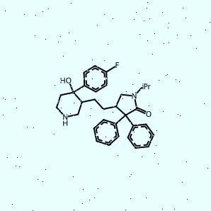 CC(C)N1CC(CCC2CNCCC2(O)c2ccc(F)cc2)C(c2ccccc2)(c2ccccc2)C1=O